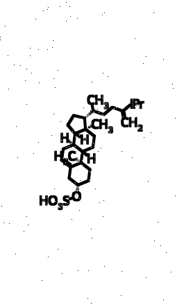 C=C(CCC(C)[C@H]1CC[C@H]2[C@@H]3CC=C4C[C@@H](OS(=O)(=O)O)CC[C@]4(C)[C@H]3CC[C@]12C)C(C)C